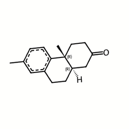 Cc1ccc2c(c1)CC[C@@H]1CC(=O)CC[C@@]21C